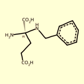 N[C@](CCC(=O)O)(NCc1ccccc1)C(=O)O